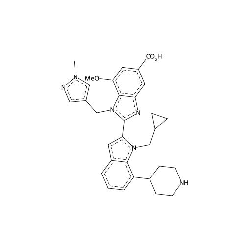 COc1cc(C(=O)O)cc2nc(-c3cc4cccc(C5CCNCC5)c4n3CC3CC3)n(Cc3cnn(C)c3)c12